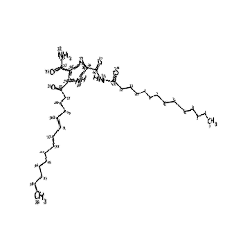 CCCCCCCCCCCCCC(=O)NC(=O)c1nc(C(N)=O)c(C(=O)CCCCCCCCCCCCC)[nH]1